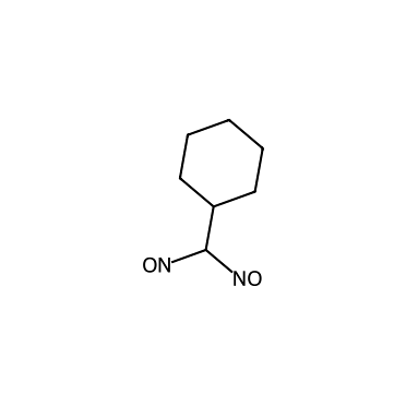 O=NC(N=O)C1CCCCC1